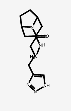 CNC1CC2CCC(C1)N2C(=O)CCCc1c[nH]nn1